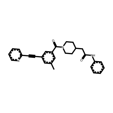 Cc1cc(C#Cc2ccccn2)cc(C(=O)N2CCC(CC(=O)Nc3ccccc3)CC2)c1